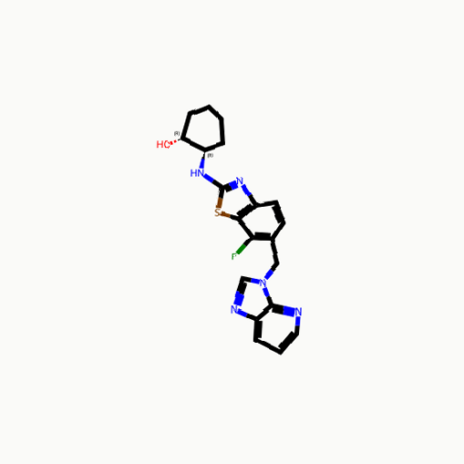 O[C@@H]1CCCC[C@H]1Nc1nc2ccc(Cn3cnc4cccnc43)c(F)c2s1